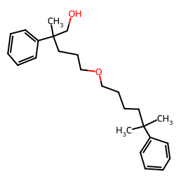 CC(C)(CCCCOCCCC(C)(CO)c1ccccc1)c1ccccc1